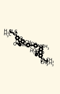 CCN(CCC(C)C)c1ccc2c(c1)Oc1cc(C)c(Nc3ccc(C(C)(C)c4ccc(Nc5cc6c(cc5C)Oc5cc(N(CC)CCC(C)C)ccc5C65OC(=O)c6ccccc65)cc4)cc3)cc1C21OC(=O)c2ccccc21